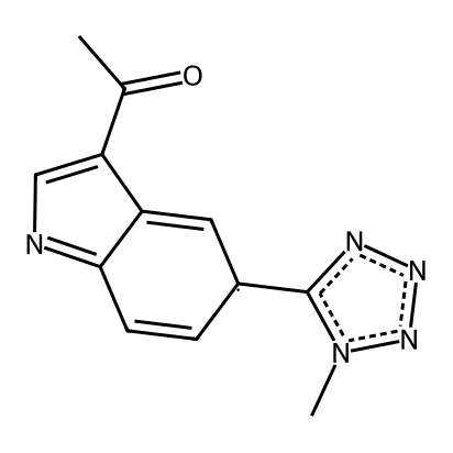 CC(=O)C1=CN=C2C=C[C](c3nnnn3C)C=C12